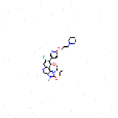 CC(C)[C@H]1COc2c(-c3ccc(OCCCN4CCCCC4)nc3)c(F)cc3ncc4c(c23)n1c(=O)n4C